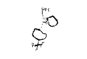 OC[C@@H]1CCCCN1C[C@H]1CC[C@H](C(F)(F)F)CC1